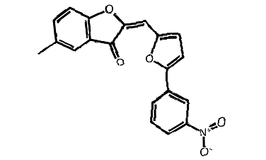 Cc1ccc2c(c1)C(=O)C(=Cc1ccc(-c3cccc([N+](=O)[O-])c3)o1)O2